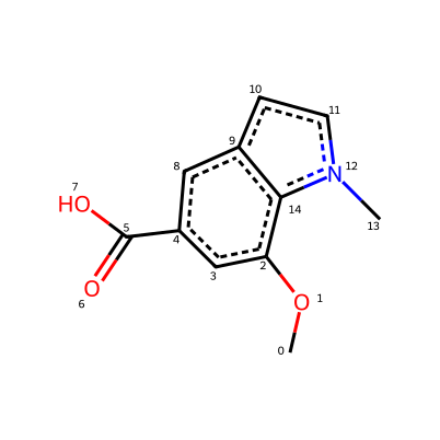 COc1cc(C(=O)O)cc2ccn(C)c12